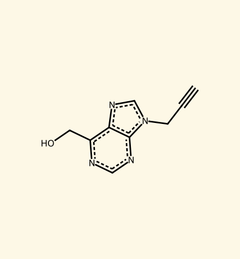 C#CCn1cnc2c(CO)ncnc21